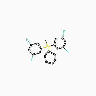 CS(c1ccccc1)(c1cc(F)cc(F)c1)c1cc(F)cc(F)c1